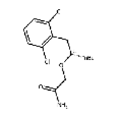 CCCC[C@@H](Cc1c(Cl)cccc1Cl)OCC(N)=O